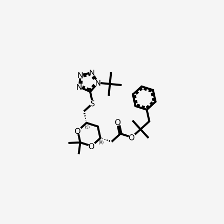 CC(C)(Cc1ccccc1)OC(=O)C[C@H]1C[C@@H](CSc2nnnn2C(C)(C)C)OC(C)(C)O1